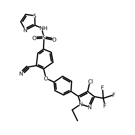 CCn1nc(C(F)(F)F)c(Cl)c1-c1ccc(Oc2ccc(S(=O)(=O)Nc3nccs3)cc2C#N)cc1